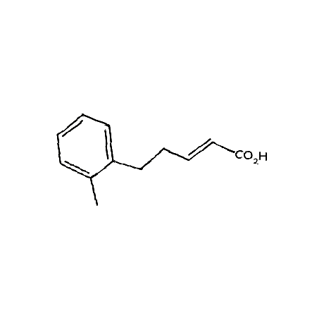 Cc1ccccc1CCC=CC(=O)O